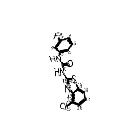 O=C(Nc1cccc(F)c1)Nc1nc2c(Cl)cccc2s1